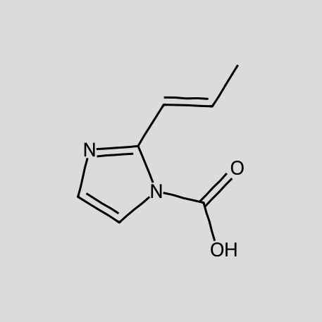 CC=Cc1nccn1C(=O)O